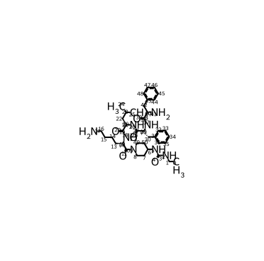 CCNC(=O)NC1CCN(C(=O)[C@@H](CCCCN)NC(=O)[C@@H](CC(C)C)NC(=O)[C@@H](Cc2ccccc2)NC(=O)[C@H](N)Cc2ccccc2)CC1